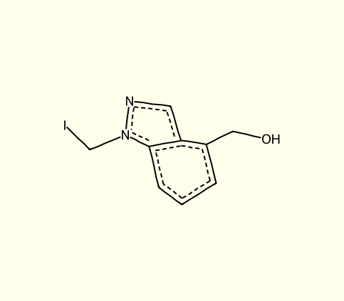 OCc1cccc2c1cnn2CI